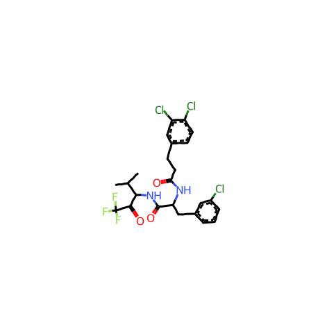 CC(C)C(NC(=O)C(Cc1cccc(Cl)c1)NC(=O)CCc1ccc(Cl)c(Cl)c1)C(=O)C(F)(F)F